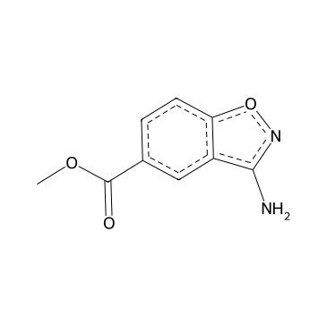 COC(=O)c1ccc2onc(N)c2c1